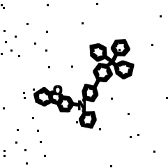 c1ccc(N(c2ccc(-c3ccc(C(c4ccccc4)(c4ccccc4)c4ccccc4)cc3)cc2)c2ccc3c(c2)oc2ccccc23)cc1